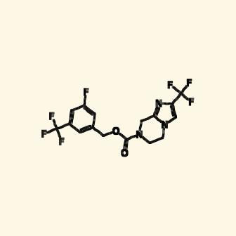 O=C(OCc1cc(F)cc(C(F)(F)F)c1)N1CCn2cc(C(F)(F)F)nc2C1